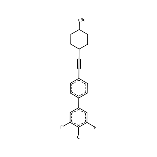 CCCCC1CCC(C#Cc2ccc(-c3cc(F)c(Cl)c(F)c3)cc2)CC1